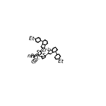 CCCc1ccc(C2=Cc3c(-c4ccc(CC)cc4)cccc3[CH]2[Zr+2][CH]2C(c3ccc(CCC)s3)=Cc3c(-c4ccc(CC)cc4)cccc32)s1.[Cl-].[Cl-]